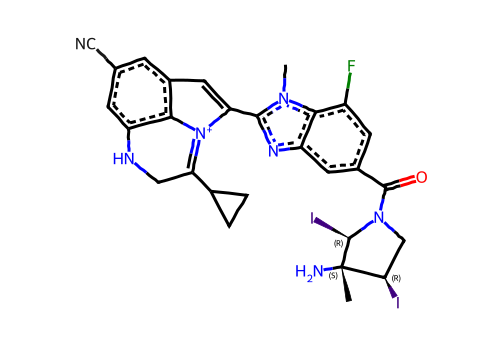 Cn1c(C2=Cc3cc(C#N)cc4c3[N+]2=C(C2CC2)CN4)nc2cc(C(=O)N3C[C@@H](I)[C@](C)(N)[C@H]3I)cc(F)c21